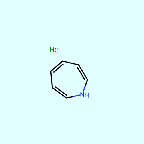 C1=CC=CNC=C1.Cl